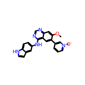 COc1cc2ncnc(Nc3ccc4[nH]ccc4c3)c2cc1-c1ccc[n+]([O-])c1